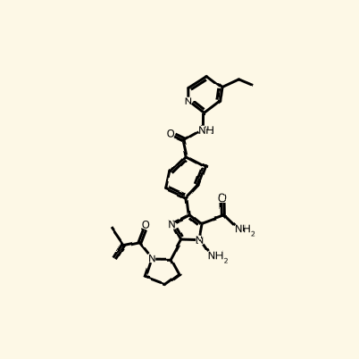 C=C(C)C(=O)N1CCCC1c1nc(-c2ccc(C(=O)Nc3cc(CC)ccn3)cc2)c(C(N)=O)n1N